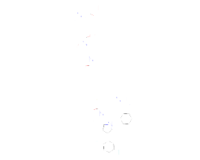 CC(C)(C)C(c1cc(-c2cc(F)ccc2F)cn1Cc1ccccc1)N(CCCN)C(=O)CSCCCCCC(=O)NCCN1C(=O)CC(SCC(N)C(=O)O)C1=O